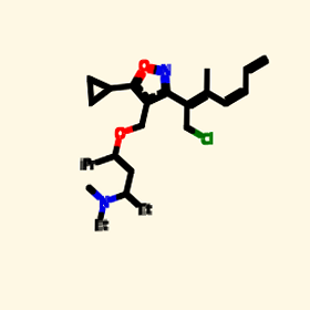 C=C/C=C\C(C)=C(/CCl)c1noc(C2CC2)c1COC(CC(CC)N(C)CC)C(C)C